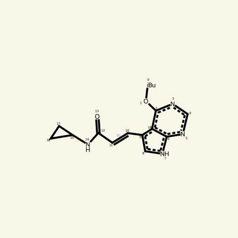 CCC(C)Oc1ncnc2[nH]cc(/C=C/C(=O)NC3CC3)c12